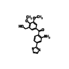 COc1cc(C(=O)c2ccc(-c3nccs3)cc2N)cc(CO)c1OC